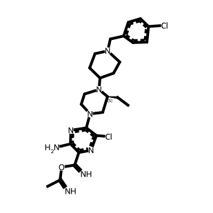 CC[C@H]1CN(c2nc(N)c(C(=N)OC(C)=N)nc2Cl)CCN1C1CCN(Cc2ccc(Cl)cc2)CC1